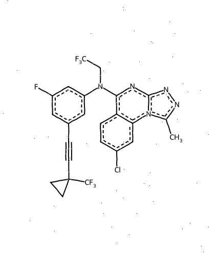 Cc1nnc2nc(N(CC(F)(F)F)c3cc(F)cc(C#CC4(C(F)(F)F)CC4)c3)c3ccc(Cl)cc3n12